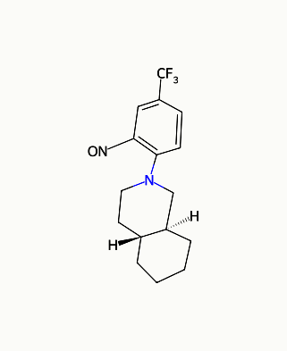 O=Nc1cc(C(F)(F)F)ccc1N1CC[C@H]2CCCC[C@@H]2C1